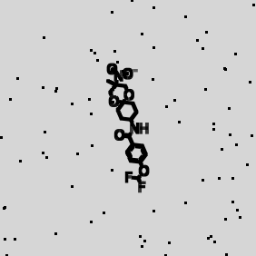 CC1([N+](=O)[O-])COC2(CCC(NC(=O)c3ccc(OC(F)F)cc3)CC2)OC1